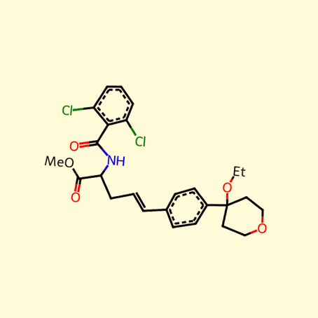 CCOC1(c2ccc(C=CCC(NC(=O)c3c(Cl)cccc3Cl)C(=O)OC)cc2)CCOCC1